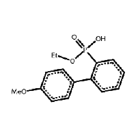 CCOP(=O)(O)c1ccccc1-c1ccc(OC)cc1